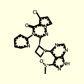 C[S+]([O-])c1n[nH]c2ncnc(N3CC[C@H]3c3nn4ccc(Cl)c4c(=O)n3-c3ccccn3)c12